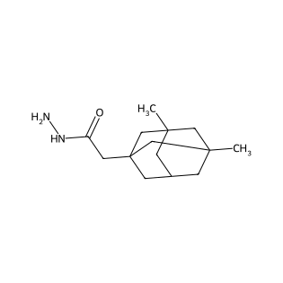 CC12CC3CC(C)(C1)CC(CC(=O)NN)(C3)C2